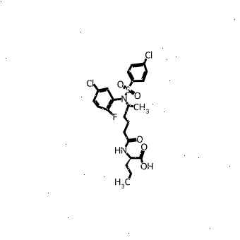 CCC[C@@H](NC(=O)CCCC(C)N(c1cc(Cl)ccc1F)S(=O)(=O)c1ccc(Cl)cc1)C(=O)O